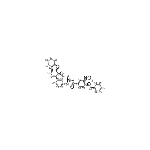 O=C(CN(CCOc1cccc2c3c(oc12)CCCC3)Cc1ccccc1)c1ccc(OCc2ccccc2)c([N+](=O)[O-])c1